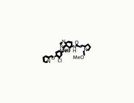 COCCN1CCCC1/C=C/C(=O)Nc1ccc2ncnc(Nc3ccc(OCc4ccccn4)c(Cl)c3)c2c1OC